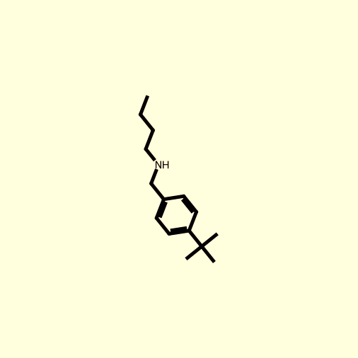 CCCCNCc1ccc(C(C)(C)C)cc1